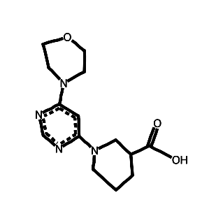 O=C(O)C1CCCN(c2cc(N3CCOCC3)ncn2)C1